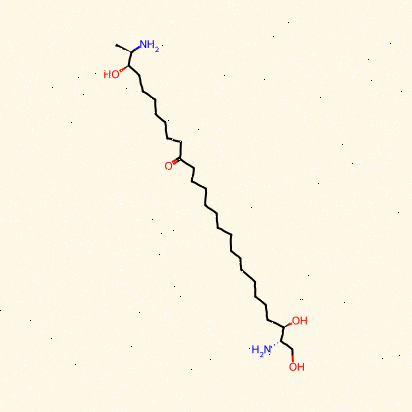 C[C@@H](N)[C@H](O)CCCCCCCC(=O)CCCCCCCCCCCCCC[C@@H](O)[C@@H](N)CO